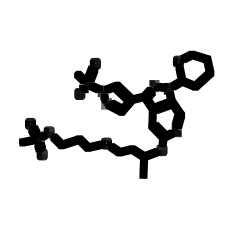 CC(CCOCCCOS(C)(=O)=O)Oc1cc2c(-c3cnn(S(C)(=O)=O)c3)nn(C3CCCCO3)c2cn1